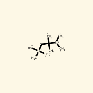 C[Si](C)C(C)(C)C[Si](C)(C)C(C)(C)C